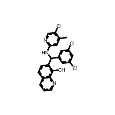 Cc1cc(NC(c2cc(Cl)cc(Cl)c2)c2ccc3cccnc3c2O)ncc1Cl